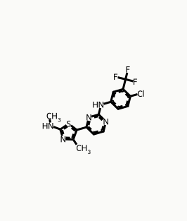 CNc1nc(C)c(-c2ccnc(Nc3ccc(Cl)c(C(F)(F)F)c3)n2)s1